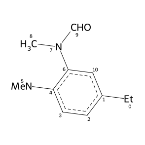 CCc1ccc(NC)c(N(C)C=O)c1